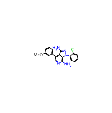 COc1cccc(-c2cnc(N)c3c2c(N)nn3-c2ccccc2Cl)c1